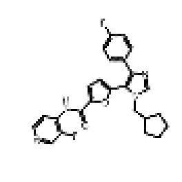 O=C(Nc1ccncc1F)c1ccc(-c2c(-c3ccc(F)cc3)ncn2CC2CCCC2)o1